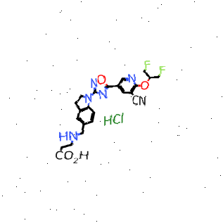 Cl.N#Cc1cc(-c2nc(N3CCc4cc(CNCCC(=O)O)ccc43)no2)cnc1OC(CF)CF